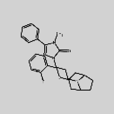 Cn1c(-c2ccccc2)nn(CCCN2C3CCC2CC(OCc2ccccc2F)C3)c1=O